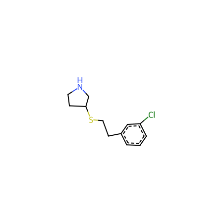 Clc1cccc(CCSC2CCNC2)c1